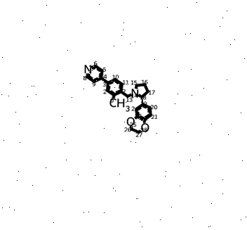 Cc1cc(-c2ccncc2)ccc1CN1CCC[C@H]1c1ccc2c(c1)OCCO2